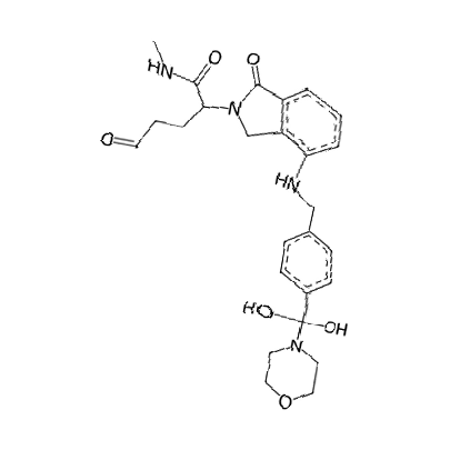 CNC(=O)C(CCC=O)N1Cc2c(NCc3ccc(C(O)(O)N4CCOCC4)cc3)cccc2C1=O